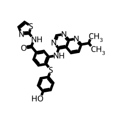 CC(C)c1ccc2c(Nc3cc(C(=O)Nc4nccs4)ccc3Sc3ccc(O)cc3)ncnc2n1